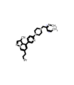 C/C=C\C(CN1CCN(c2ccc(C3=CC(CCC(C)C)=CN4N=CC(C#N)C34)cn2)CC1)=N/C